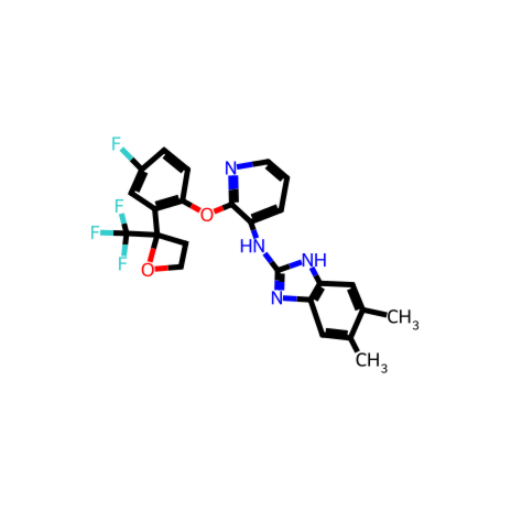 Cc1cc2nc(Nc3cccnc3Oc3ccc(F)cc3C3(C(F)(F)F)CCO3)[nH]c2cc1C